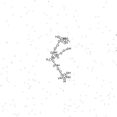 CC(O)C(CO)OC(OCCOCCOCCNC(=O)CCOCC(C)(COCCC(=O)NCCOCCOCCO)COCCC(=O)NCCOCCOCCOC1OC(CO)C(O)C(O)C1O)C(O)CO